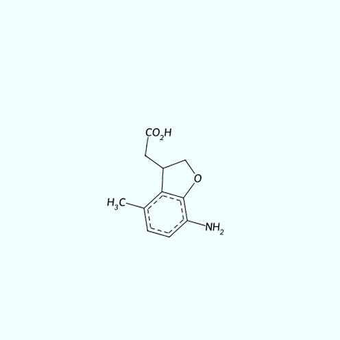 Cc1ccc(N)c2c1C(CC(=O)O)CO2